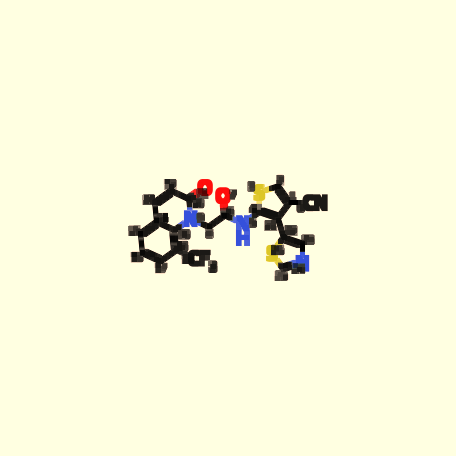 N#Cc1csc(NC(=O)Cn2c(=O)ccc3cccc(C(F)(F)F)c32)c1-c1cncs1